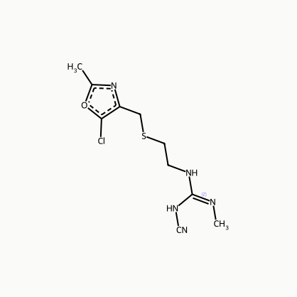 C/N=C(\NC#N)NCCSCc1nc(C)oc1Cl